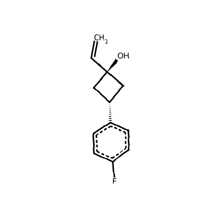 C=C[C@]1(O)C[C@H](c2ccc(F)cc2)C1